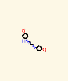 COc1ccc(/N=C/C=C/Nc2ccc(OC)cc2)cc1